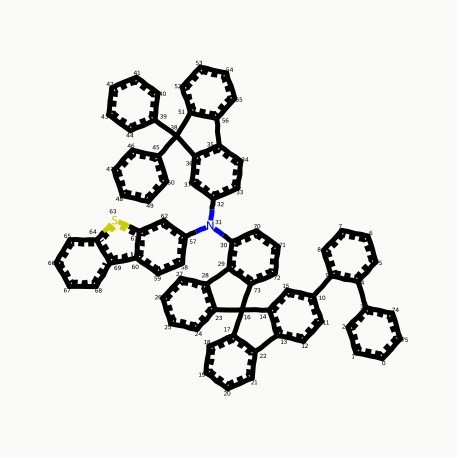 c1ccc(-c2ccccc2-c2ccc3c(c2)C2(c4ccccc4-3)c3ccccc3-c3c(N(c4ccc5c(c4)C(c4ccccc4)(c4ccccc4)c4ccccc4-5)c4ccc5c(c4)sc4ccccc45)cccc32)cc1